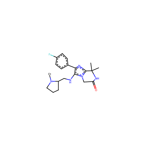 CCN1CCCC1CNc1c(-c2ccc(F)cc2)nc2n1CC(=O)NC2(C)C